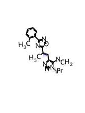 C=Nc1c(/C=C(\C)c2nc(-c3ccccc3C)no2)nnn1C(C)C